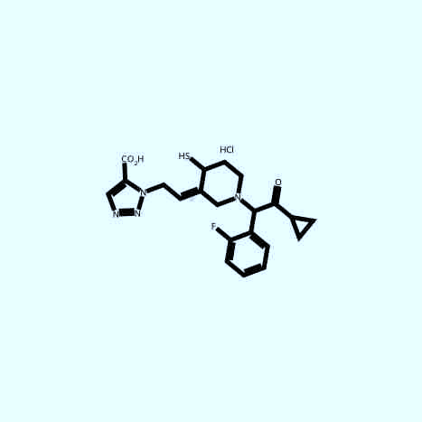 Cl.O=C(O)c1cnnn1C/C=C1/CN(C(C(=O)C2CC2)c2ccccc2F)CCC1S